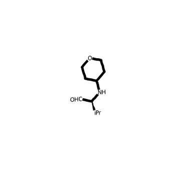 CC(C)[C@@H](C=O)NC1CCOCC1